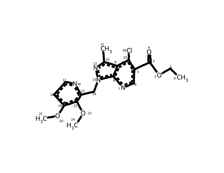 CCOC(=O)c1cnc2c(c(C)nn2Cc2nccc(OC)c2OC)c1Cl